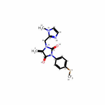 C=C1C(=O)N(c2ccc(SC(F)(F)F)cc2)C(=O)N1Cc1nccn1C